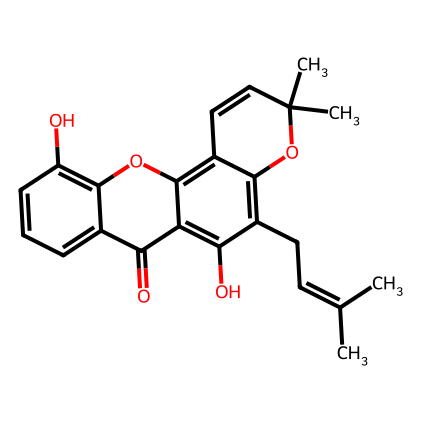 CC(C)=CCc1c2c(c3oc4c(O)cccc4c(=O)c3c1O)C=CC(C)(C)O2